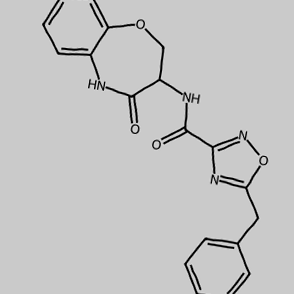 O=C(NC1COc2ccccc2NC1=O)c1noc(Cc2ccccc2)n1